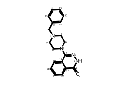 O=c1[nH]nc(N2CCN(Cc3ccccc3)CC2)c2ccccc12